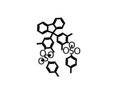 Cc1ccc(S(=O)(=O)Oc2c(C)cc(C3(c4cc(C)c(OS(=O)(=O)c5ccc(C)cc5)c(C)c4)c4ccccc4-c4ccccc43)cc2C)cc1